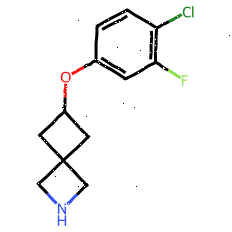 Fc1cc(OC2CC3(CNC3)C2)ccc1Cl